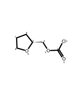 O=C(Cl)OC[C@H]1CCCO1